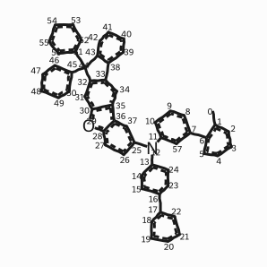 Cc1ccccc1-c1cccc(N(c2ccc(-c3ccccc3)cc2)c2ccc3oc4cc5c(cc4c3c2)-c2ccccc2C5(c2ccccc2)c2ccccc2)c1